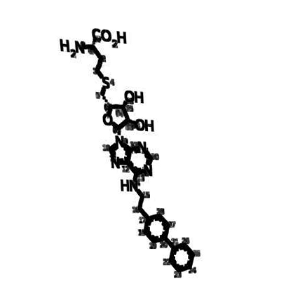 N[C@@H](CCSC[C@H]1O[C@@H](n2cnc3c(NCCc4ccc(-c5ccccc5)cc4)ncnc32)[C@H](O)[C@@H]1O)C(=O)O